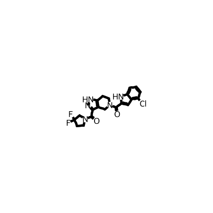 O=C(c1cc2c(Cl)cccc2[nH]1)N1CCc2[nH]nc(C(=O)N3CCC(F)(F)C3)c2C1